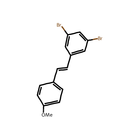 COc1ccc(/C=C/c2cc(Br)cc(Br)c2)cc1